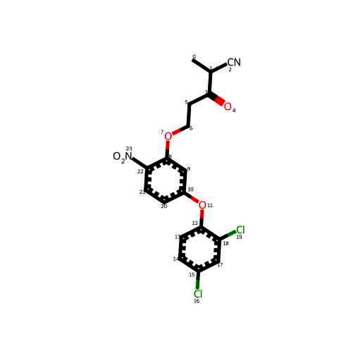 CC(C#N)C(=O)CCOc1cc(Oc2ccc(Cl)cc2Cl)ccc1[N+](=O)[O-]